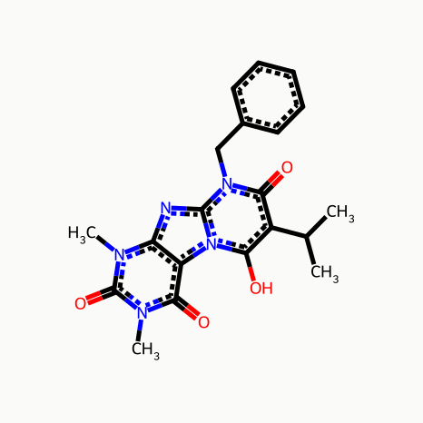 CC(C)c1c(O)n2c3c(=O)n(C)c(=O)n(C)c3nc2n(Cc2ccccc2)c1=O